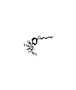 CC(NS(=O)(=O)c1ccc(OCCCCF)cc1)C(=O)NO